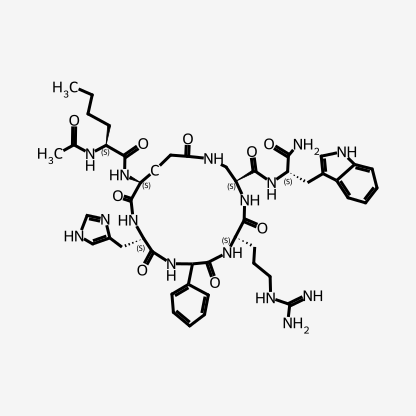 CCCC[C@H](NC(C)=O)C(=O)N[C@H]1CCC(=O)NC[C@@H](C(=O)N[C@@H](Cc2c[nH]c3ccccc23)C(N)=O)NC(=O)[C@H](CCCNC(=N)N)NC(=O)C(c2ccccc2)NC(=O)[C@H](Cc2c[nH]cn2)NC1=O